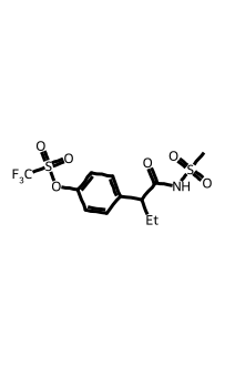 CCC(C(=O)NS(C)(=O)=O)c1ccc(OS(=O)(=O)C(F)(F)F)cc1